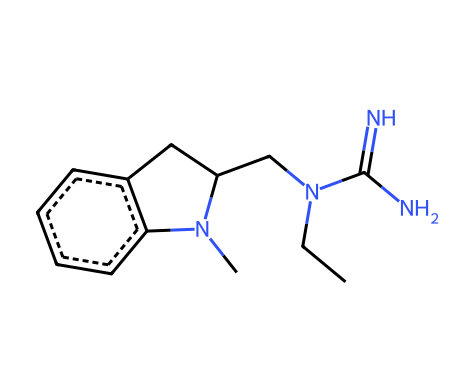 CCN(CC1Cc2ccccc2N1C)C(=N)N